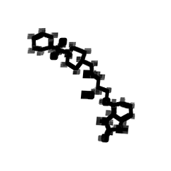 O=c1[nH]c2cccc(OC[C@H](O)CNCC3CCN(S(=O)(=O)c4ccccc4)CC3)c2[nH]1